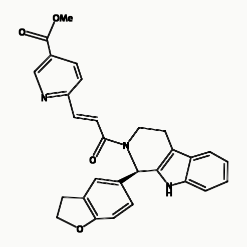 COC(=O)c1ccc(/C=C/C(=O)N2CCc3c([nH]c4ccccc34)[C@H]2c2ccc3c(c2)CCO3)nc1